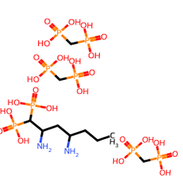 CCCC(N)CC(N)C(P(=O)(O)O)P(=O)(O)O.O=P(O)(O)CP(=O)(O)O.O=P(O)(O)CP(=O)(O)O.O=P(O)(O)CP(=O)(O)O